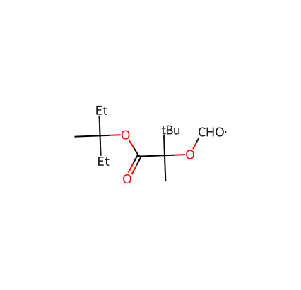 CCC(C)(CC)OC(=O)C(C)(O[C]=O)C(C)(C)C